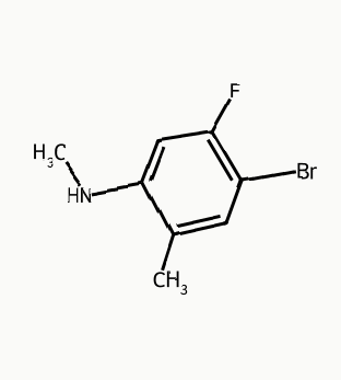 CNc1cc(F)c(Br)cc1C